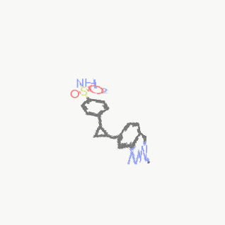 Cn1cc2ccc(C3CC3c3ccc(S(N)(=O)=O)cc3)cc2n1